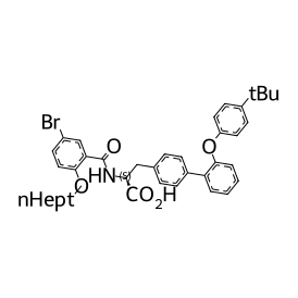 CCCCCCCOc1ccc(Br)cc1C(=O)N[C@@H](Cc1ccc(-c2ccccc2Oc2ccc(C(C)(C)C)cc2)cc1)C(=O)O